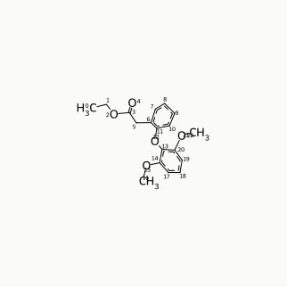 CCOC(=O)Cc1ccccc1Oc1c(OC)cccc1OC